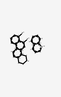 Fc1cccc2c1c(F)cc1c3c(ccc12)CCCC3.c1ccc2ncccc2c1